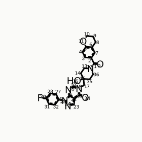 O=C(c1ccc2c(c1)CCCO2)N1CCC(O)(Cn2cnc3c(cnn3-c3ccc(F)cc3)c2=O)CC1